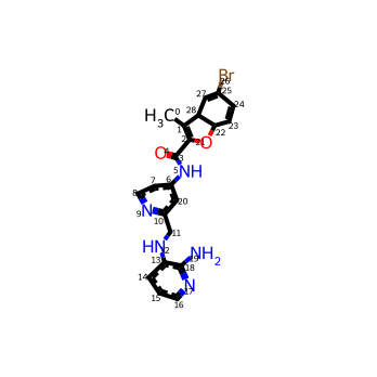 CC1=C(C(=O)Nc2ccnc(CNc3cccnc3N)c2)OC2C=CC(Br)=CC12